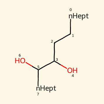 CCCCCCCCCC(O)C(O)CCCCCCC